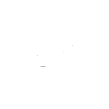 OC(Cc1ccccc1)C1CCCCNC1